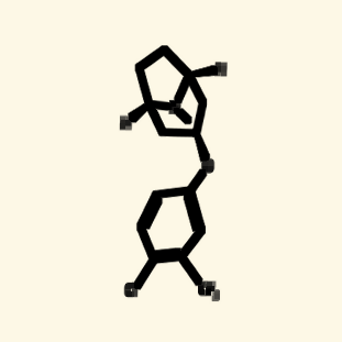 CN1[C@@H]2CC[C@H]1C[C@H](Oc1ccc(Cl)c(C(F)(F)F)c1)C2